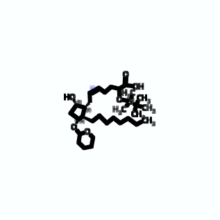 CCCCCCCC[C@@H]1[C@@H](C/C=C\CCC(O[Si](C)(C)C(C)(C)C)C(=O)O)[C@@H](O)C[C@H]1OC1CCCCO1